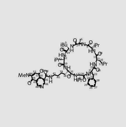 CC[C@H](C)[C@@H]1NC(=O)[C@@H](C)NC(=O)[C@H](C(C)C)NC(=O)[C@@H](CC(C)C)NC(=O)[C@@H](Cc2ccccc2)NC(=O)[C@H](C(C)C)NC(=O)[C@H](CCCCNC(=O)c2cncc3c2C(=O)C=C(NC)C3=O)NC(=O)[C@@H](C(C)C)NC1=O